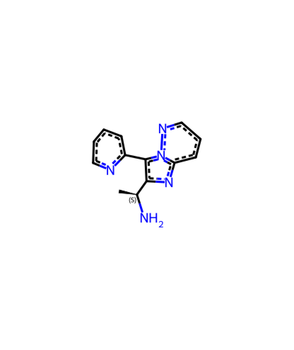 C[C@H](N)c1nc2cccnn2c1-c1ccccn1